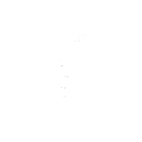 O=C(Cn1nc(N2CCC3(CCC3)CC2)ccc1=O)Nc1ccn2cnnc2c1